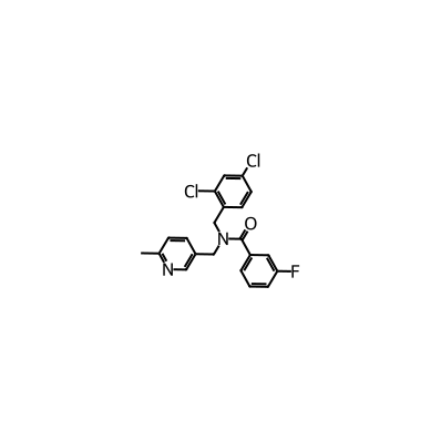 Cc1ccc(CN(Cc2ccc(Cl)cc2Cl)C(=O)c2cccc(F)c2)cn1